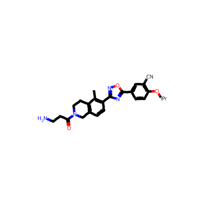 Cc1c(-c2noc(-c3ccc(OC(C)C)c(C#N)c3)n2)ccc2c1CCN(C(=O)CCN)C2